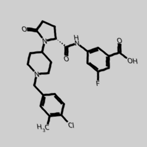 Cc1cc(CN2CCC(N3C(=O)CC[C@@H]3C(=O)Nc3cc(F)cc(C(=O)O)c3)CC2)ccc1Cl